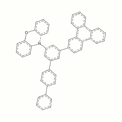 c1ccc(-c2ccc(-c3cc(-c4ccc5c6ccccc6c6ccccc6c5c4)cc(N4c5ccccc5Oc5ccccc54)c3)cc2)cc1